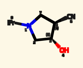 CC(C)N1C[C@@H](O)[C@H](C#N)C1